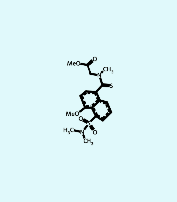 COC(=O)CN(C)C(=S)c1ccc(OC)c2c(S(=O)(=O)N(C)C)cccc12